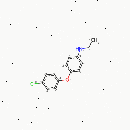 CCNc1ccc(Oc2ccc(Cl)cc2)cc1